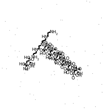 NCCNCCNCCNCCN.O=P(O)(O)CP(=O)(O)O.O=P(O)(O)CP(=O)(O)O.O=P(O)(O)CP(=O)(O)O.O=P(O)(O)CP(=O)(O)O.O=P(O)(O)CP(=O)(O)O.O=P(O)(O)CP(=O)(O)O.O=P([O-])(O)CP(=O)(O)O.[Na+]